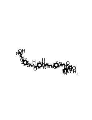 CN1C(=O)C[C@H](C(=O)NCCOC2CCC(OCCCC(=O)NC3CCC(C(=O)NCCOC4CCC(OCCCC(=O)O)CC4)CC3)CC2)[C@H]1c1cccnc1